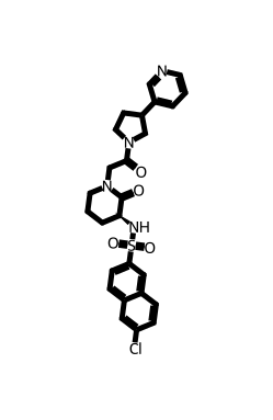 O=C(CN1CCC[C@H](NS(=O)(=O)c2ccc3cc(Cl)ccc3c2)C1=O)N1CCC(c2cccnc2)C1